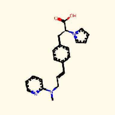 CN(C/C=C/c1ccc(C[C@@H](C(=O)O)n2cccc2)cc1)c1ccccn1